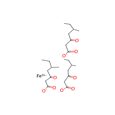 CCC(C)CC(=O)CC(=O)[O-].CCC(C)CC(=O)CC(=O)[O-].CCC(C)CC(=O)CC(=O)[O-].[Fe+3]